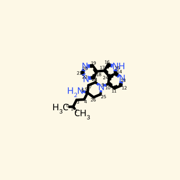 CC(C)CCC1(N)CCN(c2ccnc3[nH]cc(-c4cncnc4)c23)CC1